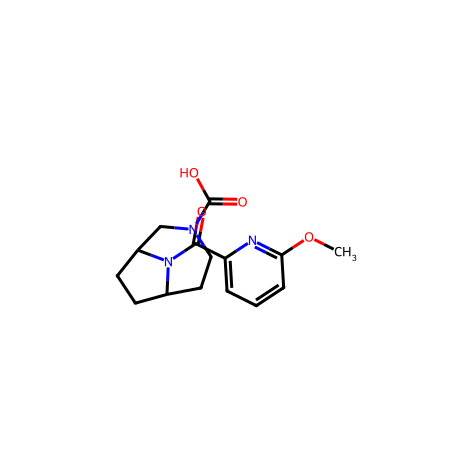 COc1cccc(C(=O)N2C3CCC2CN(C(=O)O)CC3)n1